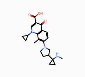 CNC1(C2CCN(c3ccc4c(=O)c(C(=O)O)cn(C5CC5)c4c3C)C2)CC1